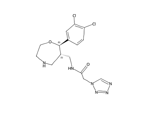 O=C(Cn1cnnn1)NC[C@@H]1CNCCO[C@H]1c1ccc(Cl)c(Cl)c1